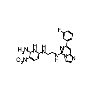 NC1NC(NCCNc2nc(-c3cccc(F)c3)cc3nccn23)=CC=C1[N+](=O)[O-]